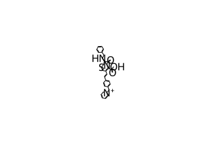 O=C(O)C1=C(/C=C/c2ccc(C[n+]3ccccc3)cc2)CSC2C(NCc3ccccc3)C(=O)N12